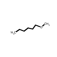 CCC[CH]C[CH]OC